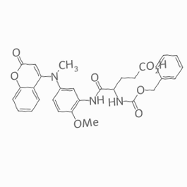 COc1ccc(N(C)c2cc(=O)oc3ccccc23)cc1NC(=O)C(CCC(=O)O)NC(=O)OCc1ccccc1